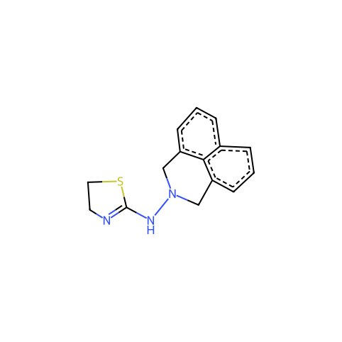 c1cc2c3c(cccc3c1)CN(NC1=NCCS1)C2